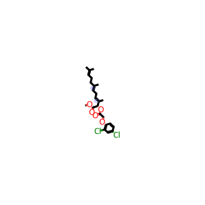 COC(=O)C(OC(=O)COc1ccc(Cl)cc1Cl)/C(C)=C/C/C=C(\C)CCC=C(C)C